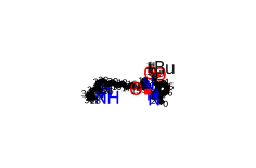 Cc1nn(C)c2c(C(C(=O)OC(C)(C)C)N3CC(OCCCCCc4ccc5c(n4)NCC(C)(C)C5)C3)cccc12